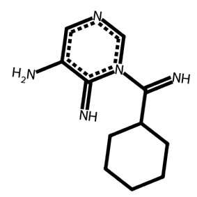 N=C(C1CCCCC1)n1cncc(N)c1=N